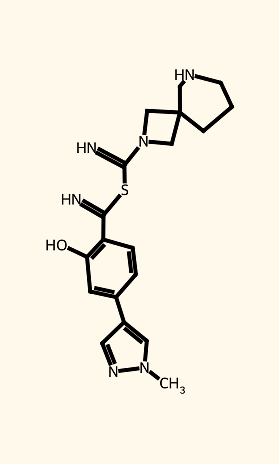 Cn1cc(-c2ccc(C(=N)SC(=N)N3CC4(CCCNC4)C3)c(O)c2)cn1